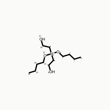 CCCCO[N+](CCO)(CCO)OCCCC